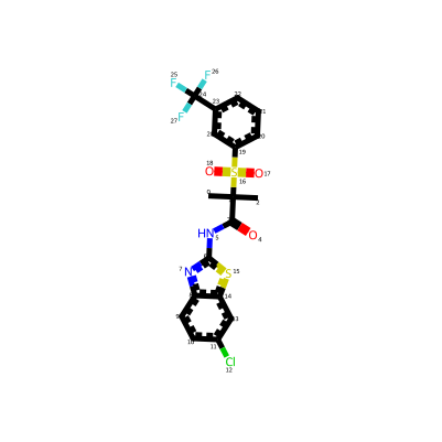 CC(C)(C(=O)Nc1nc2ccc(Cl)cc2s1)S(=O)(=O)c1cccc(C(F)(F)F)c1